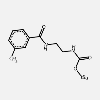 Cc1cccc(C(=O)NCCNC(=O)OC(C)(C)C)c1